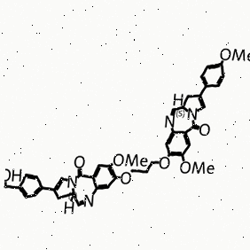 COc1ccc(C2=CN3C(=O)c4cc(OC)c(OCCCOc5cc6c(cc5OC)C(=O)N5C=C(c7ccc(CO)cc7)C[C@H]5C=N6)cc4N=C[C@@H]3C2)cc1